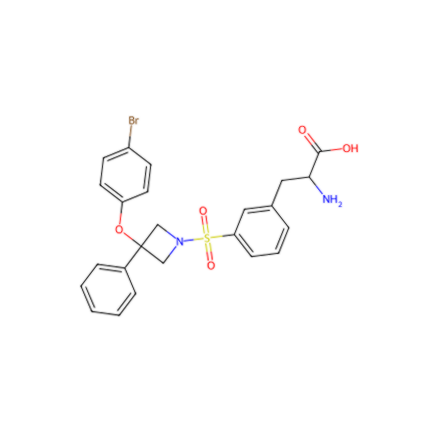 NC(Cc1cccc(S(=O)(=O)N2CC(Oc3ccc(Br)cc3)(c3ccccc3)C2)c1)C(=O)O